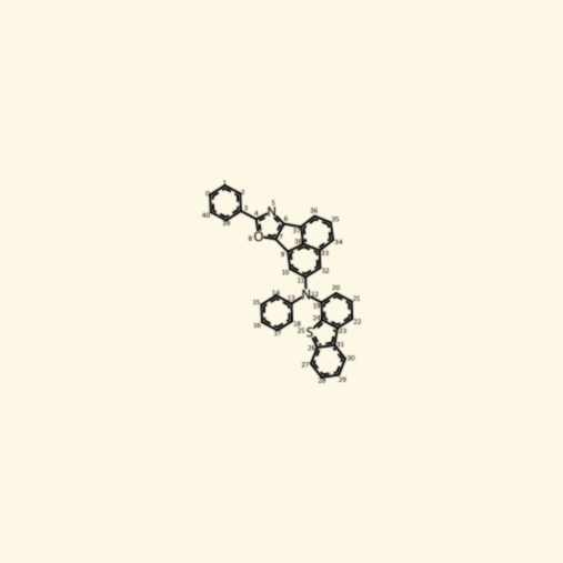 c1ccc(-c2nc3c(o2)-c2cc(N(c4ccccc4)c4cccc5c4sc4ccccc45)cc4cccc-3c24)cc1